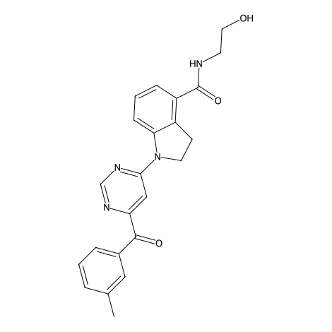 Cc1cccc(C(=O)c2cc(N3CCc4c(C(=O)NCCO)cccc43)ncn2)c1